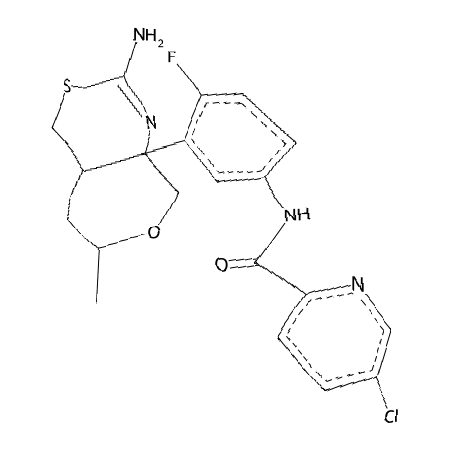 CC1CC2CSC(N)=NC2(c2cc(NC(=O)c3ccc(Cl)cn3)ccc2F)CO1